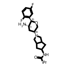 CC(C)C(=O)NC1CC2CN([C@H]3CO[C@H](c4cc(F)ccc4F)[C@@H](N)C3)CC2C1